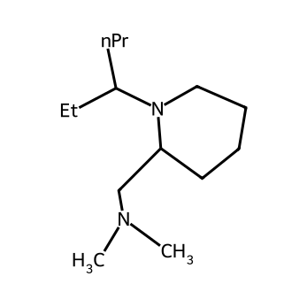 CCCC(CC)N1CCCCC1CN(C)C